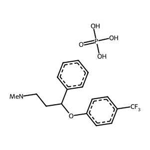 CNCCC(Oc1ccc(C(F)(F)F)cc1)c1ccccc1.O=P(O)(O)O